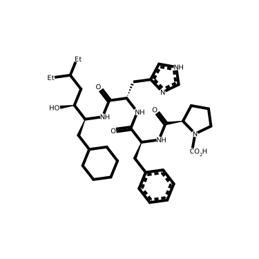 CCC(CC)C[C@H](O)[C@H](CC1CCCCC1)NC(=O)[C@H](Cc1c[nH]cn1)NC(=O)[C@H](Cc1ccccc1)NC(=O)[C@H]1CCCN1C(=O)O